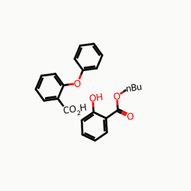 CCCCOC(=O)c1ccccc1O.O=C(O)c1ccccc1Oc1ccccc1